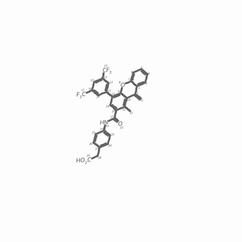 C=C1c2ccccc2Oc2c(-c3cc(C(F)(F)F)cc(C(F)(F)F)c3)cc(C(=O)Nc3ccc(CC(=O)O)cc3)c(C)c21